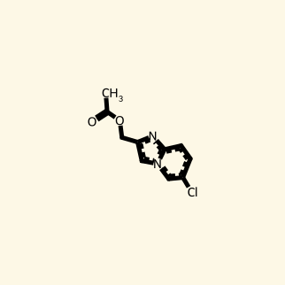 CC(=O)OCc1cn2cc(Cl)ccc2n1